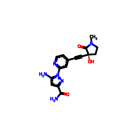 CN1CC[C@@](O)(C#Cc2ccnc(-n3nc(C(N)=O)cc3N)c2)C1=O